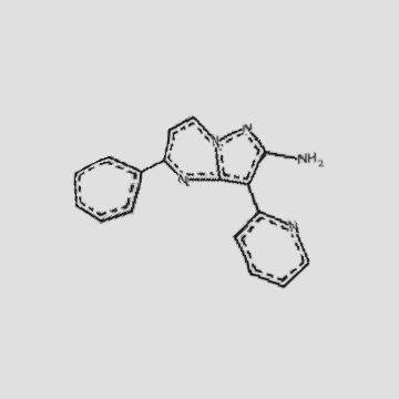 Nc1nn2ccc(-c3ccccc3)nc2c1-c1ccccn1